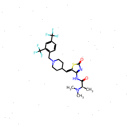 C[C@H](C(=O)NC1=NC(=O)S/C1=C\C1CCN(Cc2ccc(C(F)(F)F)cc2C(F)(F)F)CC1)N(C)C